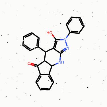 O=C1c2ccccc2C2Nc3nn(-c4ccccc4)c(O)c3C(c3ccccc3)C12